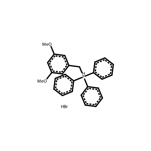 Br.COc1cc(C[PH](c2ccccc2)(c2ccccc2)c2ccccc2)cc(OC)c1